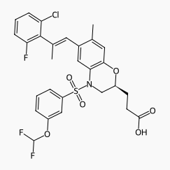 CC(=Cc1cc2c(cc1C)O[C@@H](CCC(=O)O)CN2S(=O)(=O)c1cccc(OC(F)F)c1)c1c(F)cccc1Cl